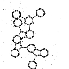 c1ccc(-c2nc(-c3ccccc3)nc(-c3cccc4c5c(ccc6c7ccccc7n(-c7ccc8c9ccccc9n(-c9ccccc9)c8c7)c65)n(-c5ccccc5)c34)n2)cc1